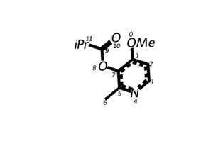 COc1ccnc(C)c1OC(=O)C(C)C